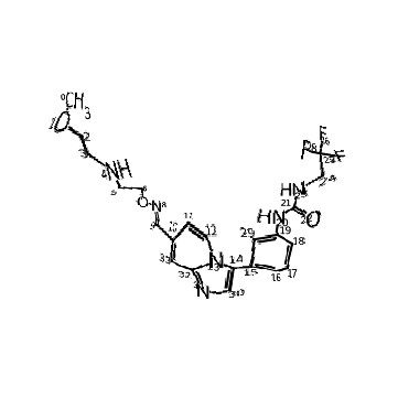 COCCNCCON=Cc1ccn2c(-c3cccc(NC(=O)NCC(F)(F)F)c3)cnc2c1